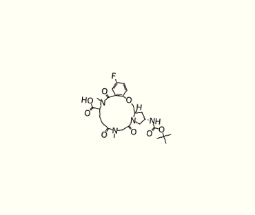 CN1CC(=O)N2C[C@@H](NC(=O)OC(C)(C)C)C[C@H]2COc2ccc(F)cc2C(=O)N(C)[C@H](C(=O)O)CCC1=O